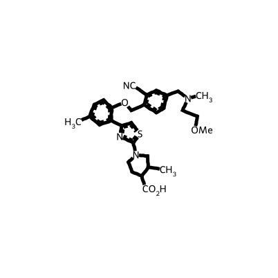 COCCN(C)Cc1ccc(COc2ccc(C)cc2-c2csc(N3CCC(C(=O)O)C(C)C3)n2)c(C#N)c1